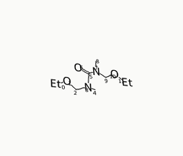 CCOCN(C)C(=O)N(C)COCC